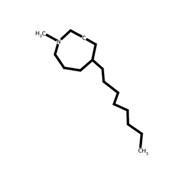 CCCCCCCCC1CCCN(C)CCC1